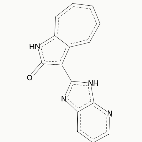 O=c1[nH]c2cccccc-2c1-c1nc2cccnc2[nH]1